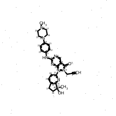 C#CCn1c(=O)c2cnc(Nc3ccc(N4CCN(C)CC4)cc3)nc2n1-c1ccc2c(n1)[C@](C)(O)CC2